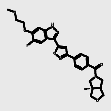 COCCOc1cc2[nH]nc(-c3cc(-c4ccc(C(=O)N5CC6COC[C@@]6(C)C5)cc4)no3)c2cc1F